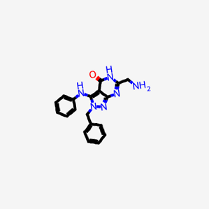 NCc1nc2nn(Cc3ccccc3)c(Nc3ccccc3)c2c(=O)[nH]1